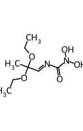 CCOC(C)(C=NC(=O)N(O)O)OCC